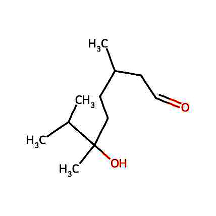 CC(CC=O)CCC(C)(O)C(C)C